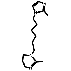 CC1=NCCCN1CCCCCCn1ccnc1C